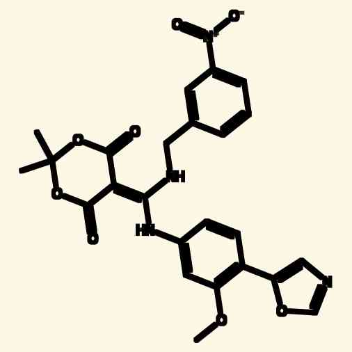 COc1cc(NC(NCc2cccc([N+](=O)[O-])c2)=C2C(=O)OC(C)(C)OC2=O)ccc1-c1cnco1